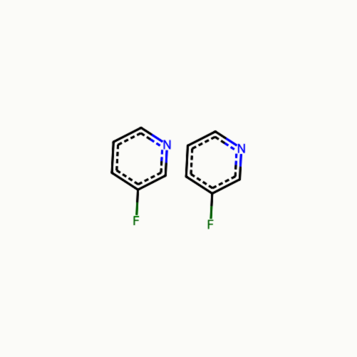 Fc1cccnc1.Fc1cccnc1